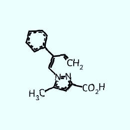 C=C/C(=C\n1nc(C(=O)O)cc1C)c1ccccc1